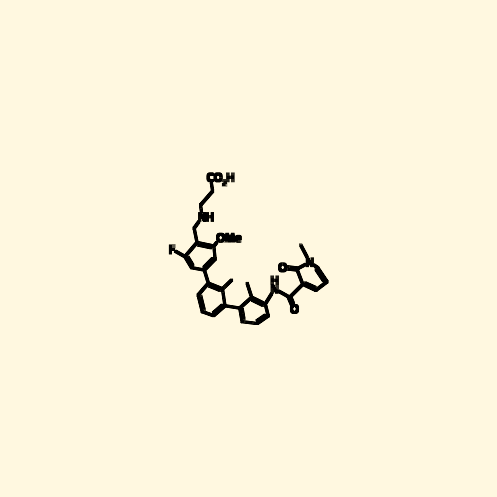 COc1cc(-c2cccc(-c3cccc(NC(=O)c4cccn(C)c4=O)c3C)c2C)cc(F)c1CNCCC(=O)O